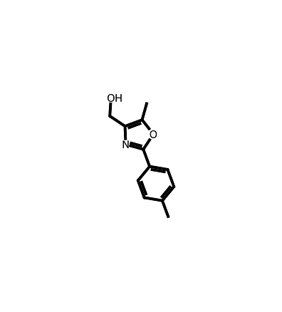 Cc1ccc(-c2nc(CO)c(C)o2)cc1